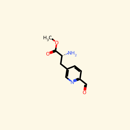 COC(=O)[C@H](N)Cc1ccc(C=O)nc1